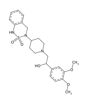 COc1ccc(C(O)CN2CCC(N3Cc4ccccc4NS3(=O)=O)CC2)cc1OC